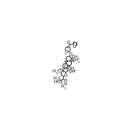 C[C@@H]1CC(C(O)C(C)(C)O)OC2[C@H]1C1(C)CCC34CC35CCC(OC3CN(C(=O)c6ccco6)CCO3)C(C)(C)[C@@H]5CCC4[C@]1(C)[C@H]2O